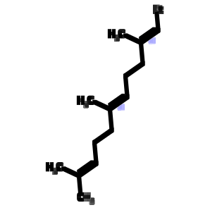 CC/C=C(\C)CC/C=C(\C)CCC=C(C)C